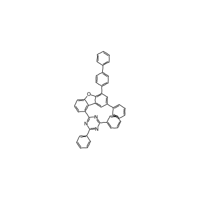 c1ccc(-c2ccc(-c3cc(-c4ccccc4)cc4c3oc3cccc(-c5nc(-c6ccccc6)nc(-c6ccccc6)n5)c34)cc2)cc1